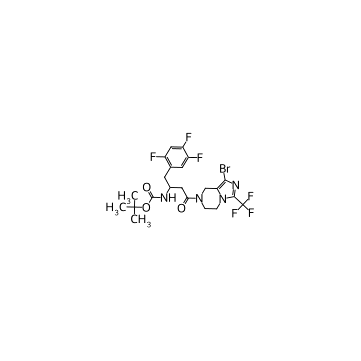 CC(C)(C)OC(=O)NC(CC(=O)N1CCn2c(C(F)(F)F)nc(Br)c2C1)Cc1cc(F)c(F)cc1F